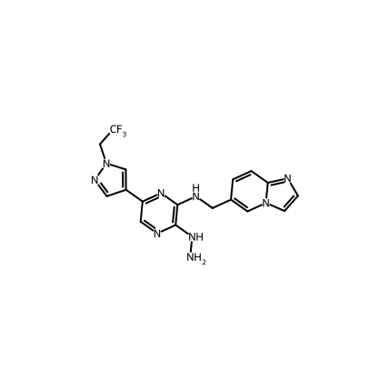 NNc1ncc(-c2cnn(CC(F)(F)F)c2)nc1NCc1ccc2nccn2c1